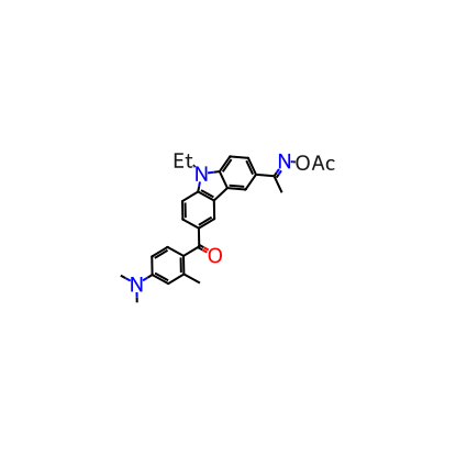 CCn1c2ccc(C(=O)c3ccc(N(C)C)cc3C)cc2c2cc(/C(C)=N/OC(C)=O)ccc21